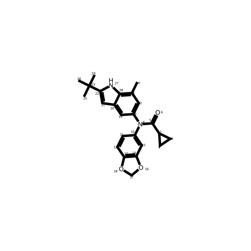 Cc1cc(N(C(=O)C2CC2)c2ccc3c(c2)OCO3)cc2cc(C(C)(C)C)[nH]c12